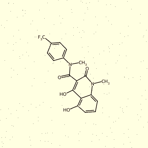 CN(C(=O)c1c(O)c2c(O)cccc2n(C)c1=O)c1ccc(C(F)(F)F)cc1